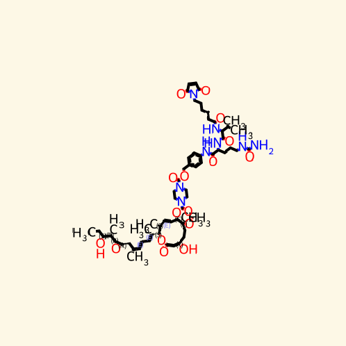 CC[C@H](O)[C@@H](C)[C@H]1O[C@@H]1CC(C)/C=C/C=C(\C)[C@H]1OC(=O)C[C@H](O)CC[C@@](C)(OC)[C@@H](OC(=O)N2CCN(C(=O)OCc3ccc(NC(=O)C(CCCNC(N)=O)NC(=O)C(NC(=O)CCCCCN4C(=O)C=CC4=O)C(C)C)cc3)CC2)/C=C/[C@@H]1C